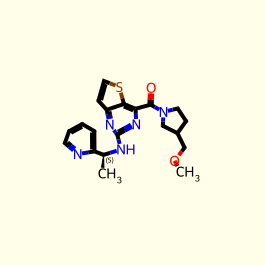 COCC1CCN(C(=O)c2nc(N[C@@H](C)c3ccccn3)nc3ccsc23)C1